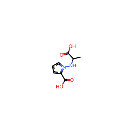 CC(Nn1cccc1C(=O)O)C(=O)O